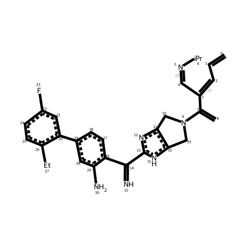 C=C/C=C(\C=N/C(C)C)C(=C)N1Cc2nc(C(=N)c3ccc(-c4cc(F)ccc4CC)cc3N)[nH]c2C1